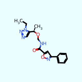 CCn1nncc1[C@@H](C)OCNC(=O)c1cc(-c2ccccc2)no1